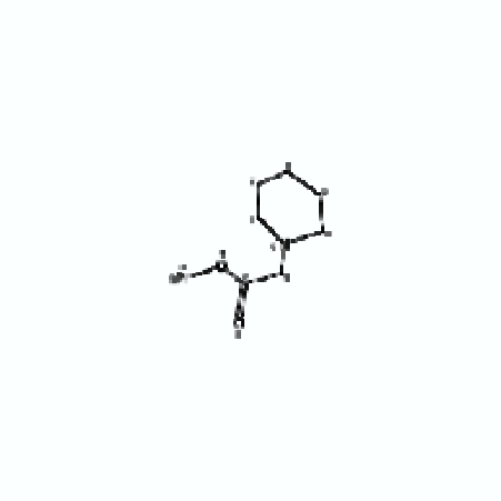 CCCOC(=O)CN1CCCCC1